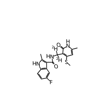 [2H]C([2H])(NC(=O)c1c(C)[nH]c2ccc(F)cc12)c1c(SC)cc(C)[nH]c1=O